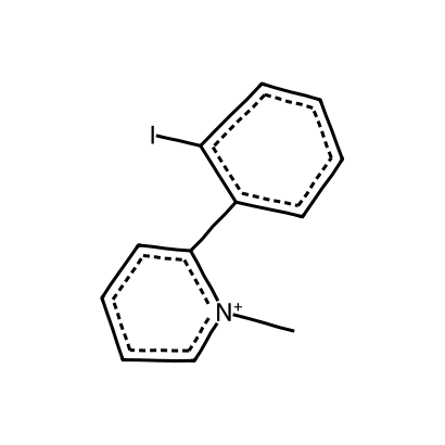 C[n+]1ccccc1-c1ccccc1I